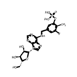 Cc1c(F)cc(CNc2ncnc3c2ncn3[C@@H]2O[C@H](CO)[C@@H](O)[C@H]2O)cc1OP(=O)(O)O